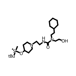 CC(C)(C)[Si](C)(C)OC1CCN(CCNC(=O)N(CCO)CCC2CCCCC2)CC1